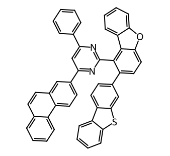 c1ccc(-c2cc(-c3ccc4c(ccc5ccccc54)c3)nc(-c3c(-c4ccc5c(c4)sc4ccccc45)ccc4oc5ccccc5c34)n2)cc1